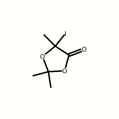 CC1(C)OC(=O)C(C)(I)O1